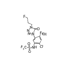 O=c1n(CCCF)nnn1-c1cc(NS(=O)(=O)C(F)(F)F)c(Cl)cc1F.[KH]